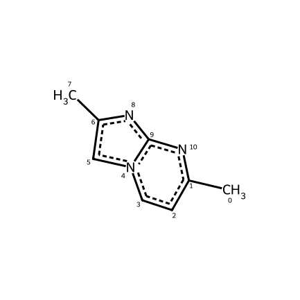 Cc1ccn2cc(C)nc2n1